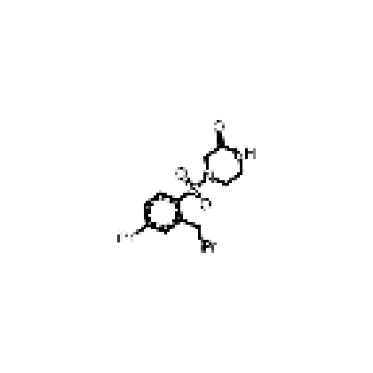 CC(C)Cc1cc(C(C)C)ccc1S(=O)(=O)N1CCNC(=O)C1